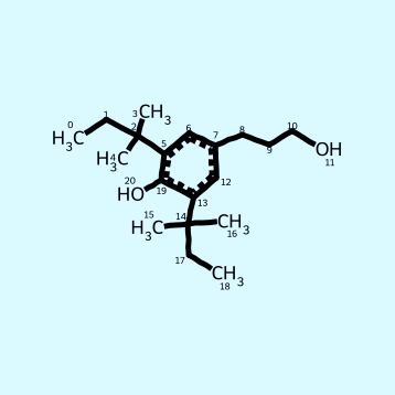 CCC(C)(C)c1cc(CCCO)cc(C(C)(C)CC)c1O